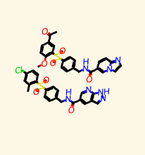 COc1ccc(C(C)=O)cc1S(=O)(=O)c1ccc(CNC(=O)c2ccc3nccn3c2)cc1.Cc1cc(Cl)ccc1S(=O)(=O)c1ccc(CNC(=O)c2cnc3[nH]ncc3c2)cc1